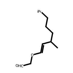 CC(C)CCCC(C)C=COCC=O